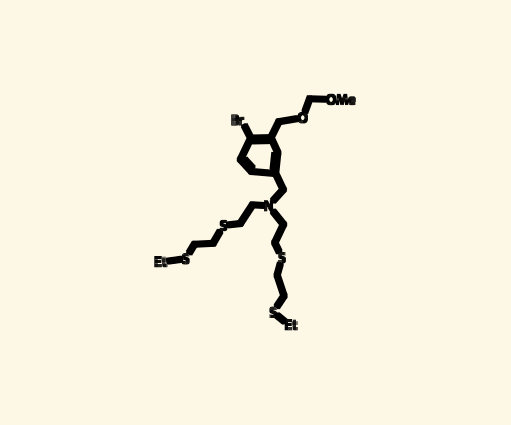 CCSCCSCCN(CCSCCSCC)Cc1ccc(Br)c(COCOC)c1